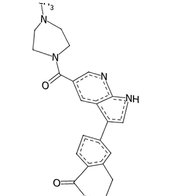 CN1CCN(C(=O)c2cnc3[nH]cc(-c4ccc5c(c4)CCNC5=O)c3c2)CC1